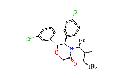 CC[C@@H]([C@@H](C)CC(C)(C)C)N1C(=O)CO[C@H](c2cccc(Cl)c2)[C@H]1c1ccc(Cl)cc1